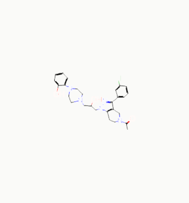 CC(=O)N1CCc2c(c(-c3cccc(Cl)c3)nn2CC(O)CN2CCN(c3ccccc3O)CC2)C1